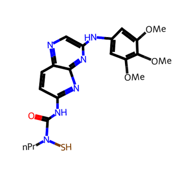 CCCN(S)C(=O)Nc1ccc2ncc(Nc3cc(OC)c(OC)c(OC)c3)nc2n1